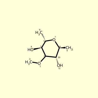 COC1[C@@H](O)[C@H](C)O[C@@H](C)[C@@H]1O